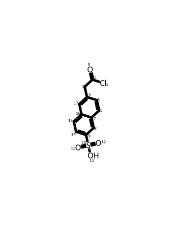 O=C(Cl)Cc1ccc2cc(S(=O)(=O)O)ccc2c1